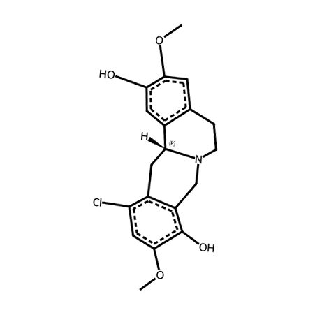 COc1cc2c(cc1O)[C@H]1Cc3c(Cl)cc(OC)c(O)c3CN1CC2